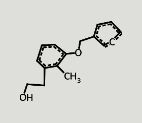 Cc1c(CCO)cccc1OCc1ccccc1